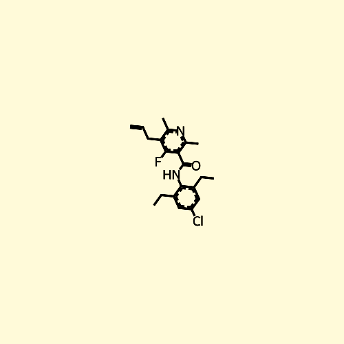 C=CCc1c(C)nc(C)c(C(=O)Nc2c(CC)cc(Cl)cc2CC)c1F